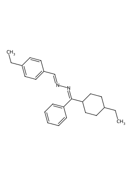 CCc1ccc(C=NN=C(c2ccccc2)C2CCC(CC)CC2)cc1